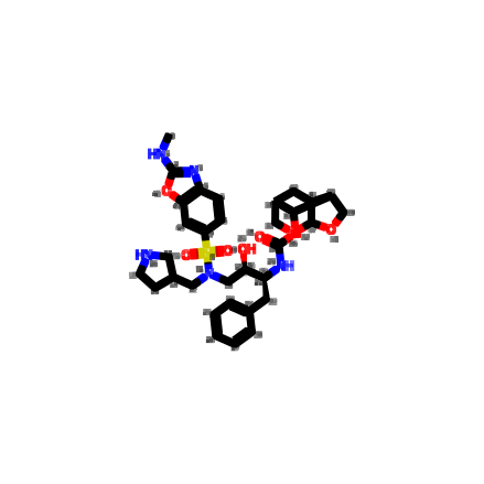 CNc1nc2ccc(S(=O)(=O)N(CC3CCNC3)C[C@@H](O)[C@H](Cc3ccccc3)NC(=O)OC3C4COC5OCC3C5C4)cc2o1